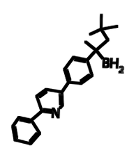 BC(C)(CC(C)(C)C)c1ccc(-c2ccc(-c3ccccc3)nc2)cc1